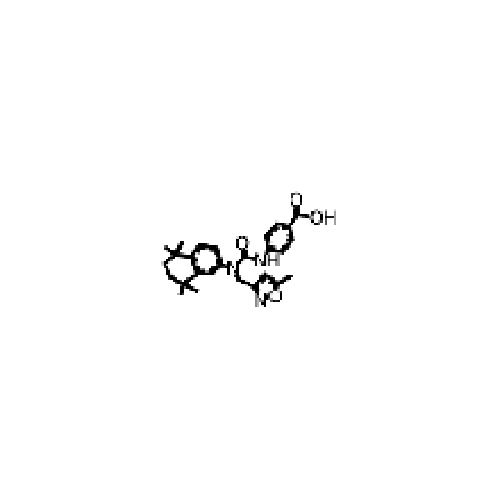 Cc1cc(CN(C(=O)Nc2ccc(C(=O)O)cc2)c2ccc3c(c2)C(C)(C)CCC3(C)C)no1